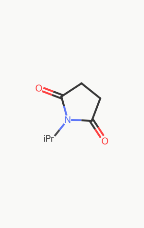 CC(C)N1C(=O)CCC1=O